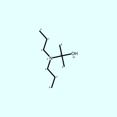 CCCN(CCC)C(C)(C)O